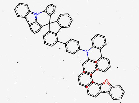 c1ccc(-c2cccc(-c3ccccc3N(c3ccc(-c4cccc5c4-c4ccccc4C54c5ccccc5-n5c6ccccc6c6cccc4c65)cc3)c3ccc(-c4cccc5c4oc4ccccc45)cc3)c2)cc1